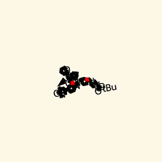 Cc1cc(-c2ccc3nc(N4CCC(CN5CCN(C(=O)OC(C)(C)C)CC5)CC4)nc(C(COC4CCCCO4)(OC4CC4)c4ccccc4)c3c2)cn(C)c1=O